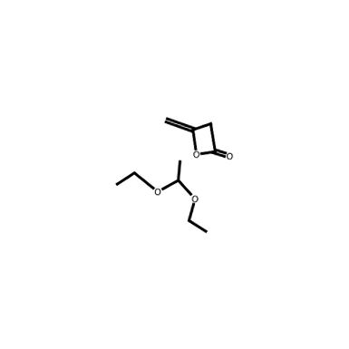 C=C1CC(=O)O1.CCOC(C)OCC